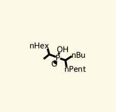 CCCCCCC(C)P(=O)(O)C(CCCC)CCCCC